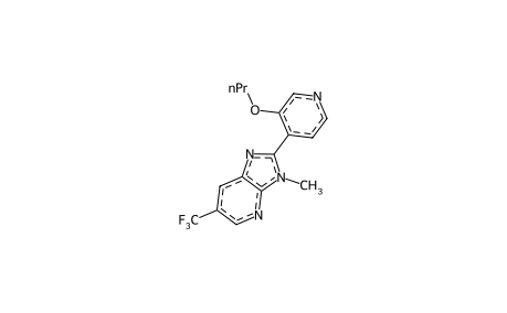 CCCOc1cnccc1-c1nc2cc(C(F)(F)F)cnc2n1C